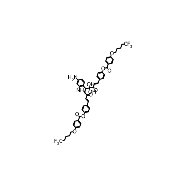 Nc1ccc(C(CC(=O)C=Cc2ccc(OC(=O)c3ccc(OCCCCC(F)(F)F)cc3)cc2)C(O)(O)C(=O)C=Cc2ccc(OC(=O)c3ccc(OCCCCC(F)(F)F)cc3)cc2)c(N)c1